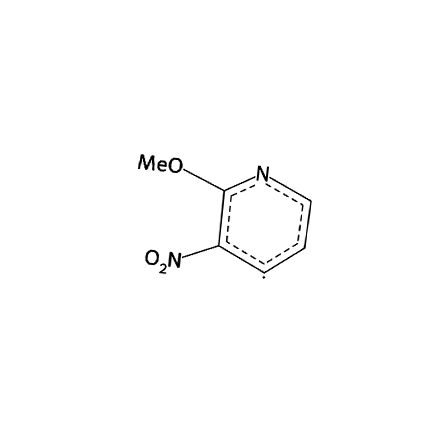 COc1ncc[c]c1[N+](=O)[O-]